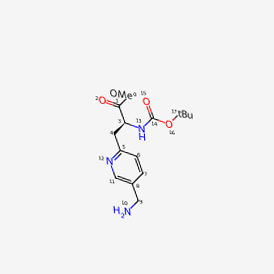 COC(=O)[C@H](Cc1ccc(CN)cn1)NC(=O)OC(C)(C)C